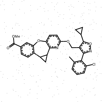 COC(=O)c1ccc2c(c1)Oc1ccc(OCc3c(-c4c(C)cccc4Cl)noc3C3CC3)nc1C1CC21